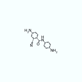 N#Cc1cc(N)ccc1C(=O)Nc1ccc(N)cc1